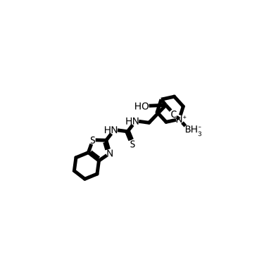 [BH3-][N+]12CCC(CC1)C(O)(CNC(=S)Nc1nc3c(s1)CCCC3)C2